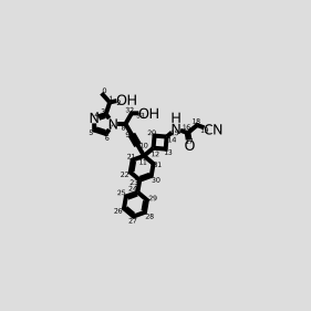 CC(O)c1nccn1C(C#CC1(C2CC(NC(=O)CC#N)C2)C=CC(c2ccccc2)=CC1)CO